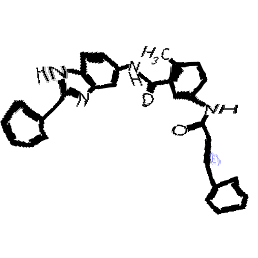 Cc1ccc(NC(=O)/C=C/c2ccccc2)cc1C(=O)Nc1ccc2[nH]c(-c3ccccc3)nc2c1